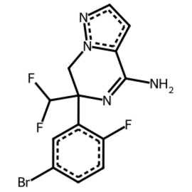 NC1=NC(c2cc(Br)ccc2F)(C(F)F)Cn2nccc21